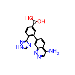 Nc1cnnc2cc(-c3cc(B(O)O)ccc3-c3nc[nH]n3)ccc12